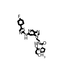 C/C=C\C(=O)N1CCC[C@H]1C(=O)NCCn1cnc2cnc(Nc3ncc(-c4ccc(F)cc4)s3)cc21